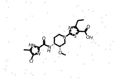 CCc1nc(N2CC[C@@H](NC(=O)c3nc(Cl)c(C)[nH]3)[C@@H](OC)C2)sc1C(=O)O